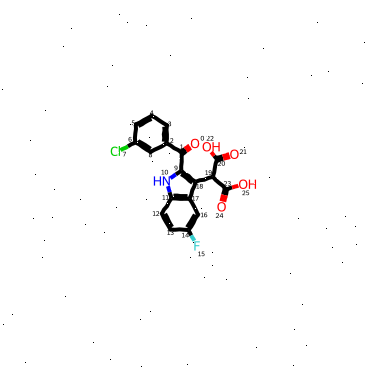 O=C(c1cccc(Cl)c1)c1[nH]c2ccc(F)cc2c1C(C(=O)O)C(=O)O